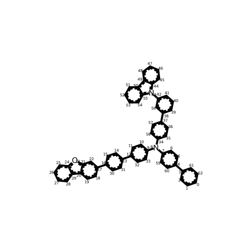 c1ccc(-c2ccc(N(c3ccc(-c4ccc(-c5ccc6c(c5)oc5ccccc56)cc4)cc3)c3ccc(-c4cccc(-n5c6ccccc6c6ccccc65)c4)cc3)cc2)cc1